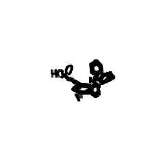 O=C(O)/C=C/c1cc(F)ccc1N=P(c1ccccc1)(c1ccccc1)c1ccccc1